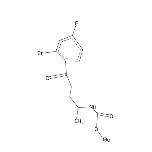 CCc1cc(F)ccc1C(=O)CCC(C)NC(=O)OC(C)(C)C